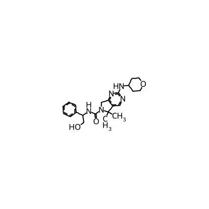 CC1(C)c2cnc(NC3CCOCC3)nc2CN1C(=O)NC(CO)c1ccccc1